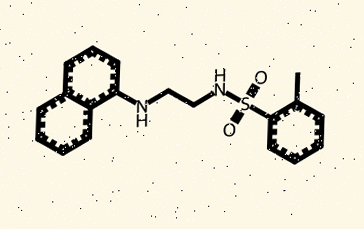 Cc1ccccc1S(=O)(=O)NCCNc1cccc2ccccc12